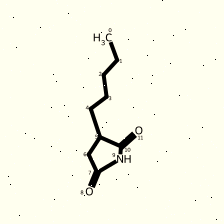 CCCCCC1CC(=O)NC1=O